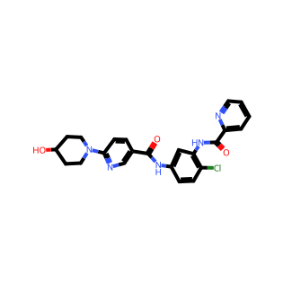 O=C(Nc1ccc(Cl)c(NC(=O)c2ccccn2)c1)c1ccc(N2CCC(O)CC2)nc1